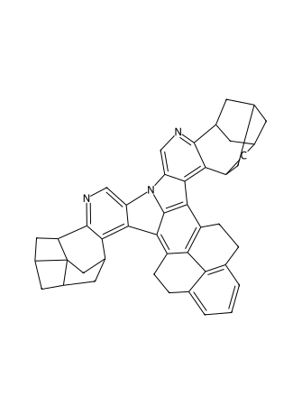 c1cc2c3c(c1)CCc1c-3c(c3c4c5c(ncc4n4c6cnc7c(c6c1c34)C1CC3CC4CC7C34C1)C1CC3CC(C1)CC5C3)CC2